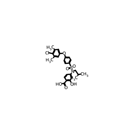 Cc1cc(Oc2ccc(S(=O)(=O)N(CC(C)C)c3ccc(C(=O)O)c(O)c3)cc2)cc(C)c1Cl